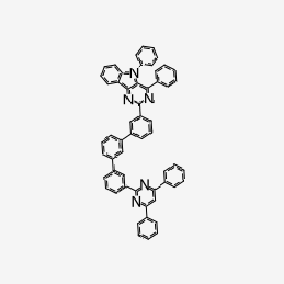 c1ccc(-c2cc(-c3ccccc3)nc(-c3cccc(-c4cccc(-c5cccc(-c6nc(-c7ccccc7)c7c(n6)c6ccccc6n7-c6ccccc6)c5)c4)c3)n2)cc1